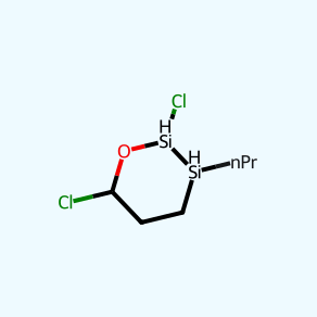 CCC[SiH]1CCC(Cl)O[SiH]1Cl